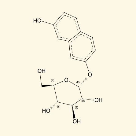 OC[C@H]1O[C@H](Oc2ccc3ccc(O)cc3c2)[C@H](O)[C@@H](O)[C@@H]1O